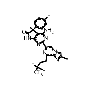 Cc1cn2cc(-c3nc(N)c4c(n3)NC(=O)C4(C)c3ccc(F)cc3)nc(CCC(F)(F)C(F)(F)F)c2n1